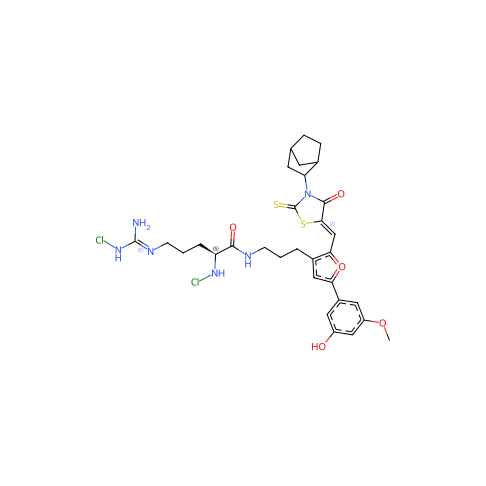 COc1cc(O)cc(-c2cc(CCCNC(=O)[C@H](CCC/N=C(\N)NCl)NCl)c(/C=C3\SC(=S)N(C4CC5CCC4C5)C3=O)o2)c1